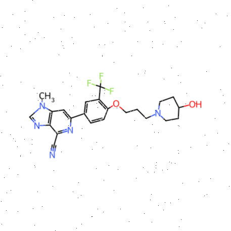 Cn1cnc2c(C#N)nc(-c3ccc(OCCCN4CCC(O)CC4)c(C(F)(F)F)c3)cc21